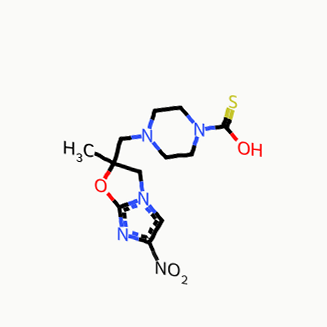 CC1(CN2CCN(C(O)=S)CC2)Cn2cc([N+](=O)[O-])nc2O1